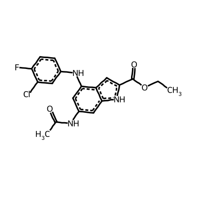 CCOC(=O)c1cc2c(Nc3ccc(F)c(Cl)c3)cc(NC(C)=O)cc2[nH]1